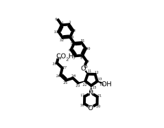 Cc1ccc(-c2ccc(CO[C@H]3C[C@@H](O)[C@H](N4CCOCC4)[C@H]3CC/C=C\CCC(=O)O)cc2)cc1